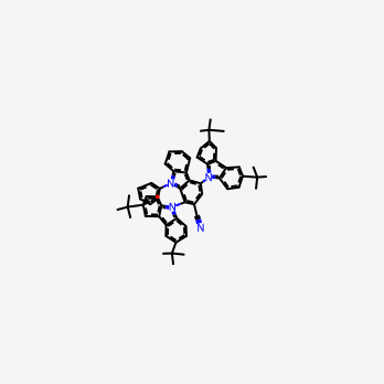 CC(C)(C)c1ccc2c(c1)c1cc(C(C)(C)C)ccc1n2-c1cc(C#N)c(-n2c3ccc(C(C)(C)C)cc3c3cc(C(C)(C)C)ccc32)c2c1c1ccccc1n2-c1ccccc1